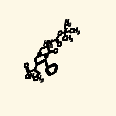 C=CC(C(=O)O)C1=C(c2ccccc2)N2C(=O)[C@@H](NC(=O)OC(C)(C)C)CN2C1